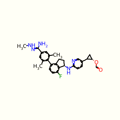 CN/N=C(\N)c1cc(C)c(-c2ccc(F)c3c2CC[C@H]3Nc2ccc(C3C[C@@H]3OC=O)cn2)c(C)c1